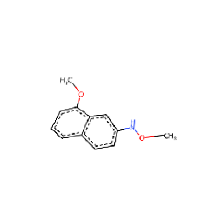 CONc1ccc2cccc(OC)c2c1